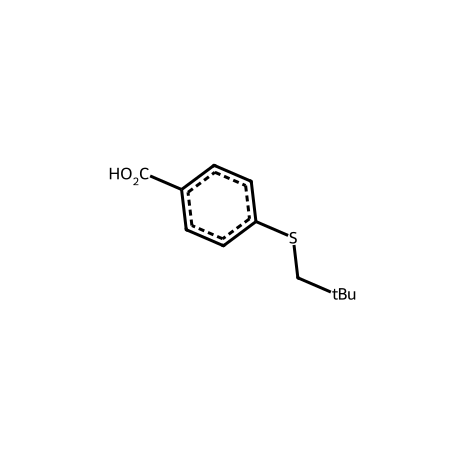 CC(C)(C)CSc1ccc(C(=O)O)cc1